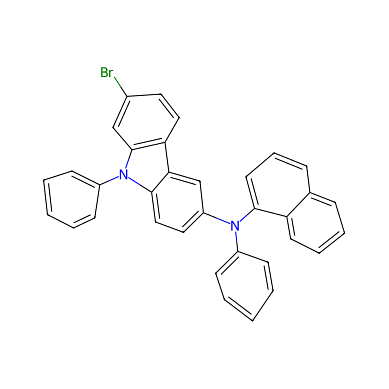 Brc1ccc2c3cc(N(c4ccccc4)c4cccc5ccccc45)ccc3n(-c3ccccc3)c2c1